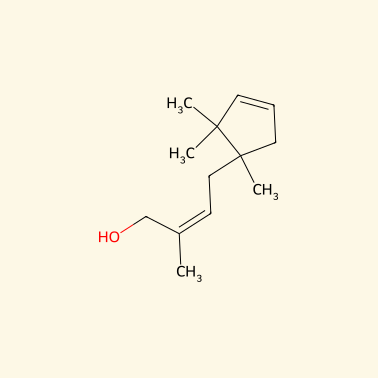 CC(=CCC1(C)CC=CC1(C)C)CO